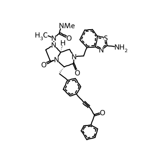 CNC(=O)N(C)N1CC(=O)N2[C@@H](Cc3ccc(C#CC(=O)c4ccccc4)cc3)C(=O)N(Cc3cccc4sc(N)nc34)C[C@@H]21